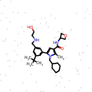 Cc1c(C(=O)NC2COC2)cc(-c2cc(CNCCO)cc(C(C)(C)C)c2)n1CC1CCCCC1